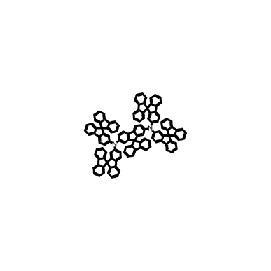 c1ccc2c(c1)-c1ccccc1C21c2ccccc2-c2ccc(N(c3ccc4c(c3)C3(c5ccccc5-c5ccccc53)c3ccccc3-4)c3ccc4c(c3)C3(c5ccccc5-c5ccccc53)c3cc(N(c5ccc6c(c5)C5(c7ccccc7-c7ccccc75)c5ccccc5-6)c5ccc6c(c5)C5(c7ccccc7-c7ccccc75)c5ccccc5-6)ccc3-4)cc21